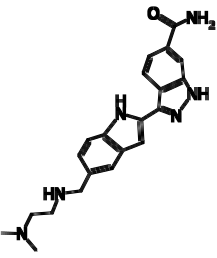 CN(C)CCNCc1ccc2[nH]c(-c3n[nH]c4cc(C(N)=O)ccc34)cc2c1